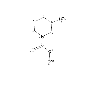 CC(C)(C)OC(=O)N1CCCC([N+](=O)[O-])C1